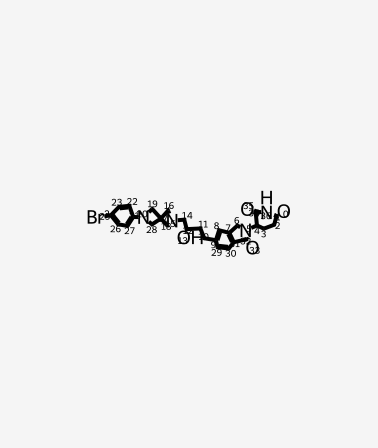 O=C1CCC(N2Cc3cc(CC[C@H](O)CN4CC5(C4)CN(c4ccc(Br)cc4)C5)ccc3C2=O)C(=O)N1